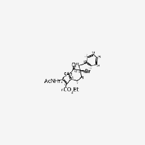 CCOC(=O)c1c(NC(C)=O)sc2c1CCC(Br)(Cc1ccccc1)C2=O